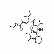 CCOC(=O)/C(C)=C/[C@H]([C@@H](C)CC)N(C)C(=O)[C@@H](NC(=O)C1CCCCN1C(C)CC)C(C)C